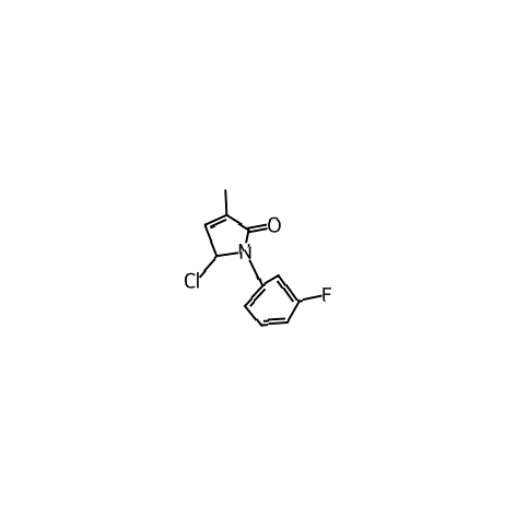 CC1=CC(Cl)N(c2cccc(F)c2)C1=O